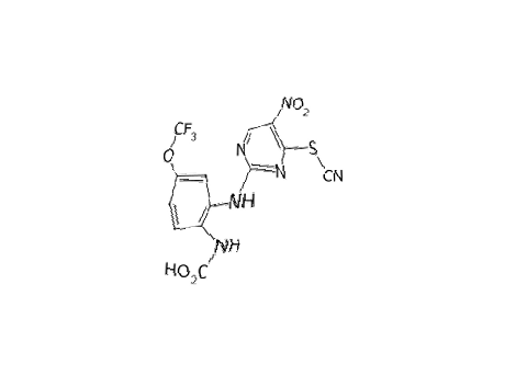 N#CSc1nc(Nc2cc(OC(F)(F)F)ccc2NC(=O)O)ncc1[N+](=O)[O-]